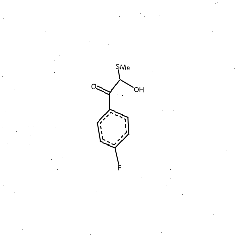 CSC(O)C(=O)c1ccc(F)cc1